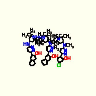 CC1(C)CC(Nc2ccc(-c3cc4ccccc4cc3O)nn2)CC(C)(C)N1.CN(c1ccc(-c2cc3ccccc3cc2O)nn1)C1CC(C)(C)NC(C)(C)C1.CN(c1ccc(-c2ccc(Cl)cc2O)nn1)C1CC(C)(C)N(C)C(C)(C)C1